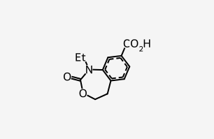 CCN1C(=O)OCCc2ccc(C(=O)O)cc21